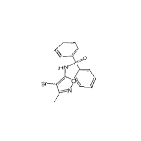 Cc1noc(NP(=O)(c2ccccc2)c2ccccc2)c1Br